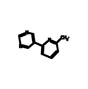 [CH2]c1cccc(-c2cncnc2)n1